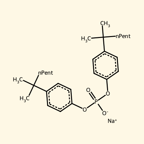 CCCCCC(C)(C)c1ccc(OP(=O)([O-])Oc2ccc(C(C)(C)CCCCC)cc2)cc1.[Na+]